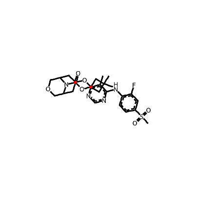 Cc1c(Nc2ccc(S(C)(=O)=O)cc2F)ncnc1OC1CC2COCC(C1)N2C(=O)OC1CC(C)(C)C1